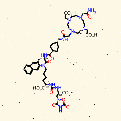 NC(=O)CN1CCN(CC(=O)O)CCN(CC(=O)NC[C@H]2CC[C@H](C(=O)N[C@@H](Cc3ccc4ccccc4c3)C(=O)NCCCC[C@H](NC(=O)N[C@@H](Cn3oc(=O)[nH]c3=O)C(=O)O)C(=O)O)CC2)CCN(CC(=O)O)CC1